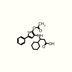 CC(=O)Oc1sc(-c2ccccc2)cc1NC(CC(=O)O)C1CCCCC1